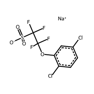 O=S(=O)([O-])C(F)(F)C(F)(F)Oc1cc(Cl)ccc1Cl.[Na+]